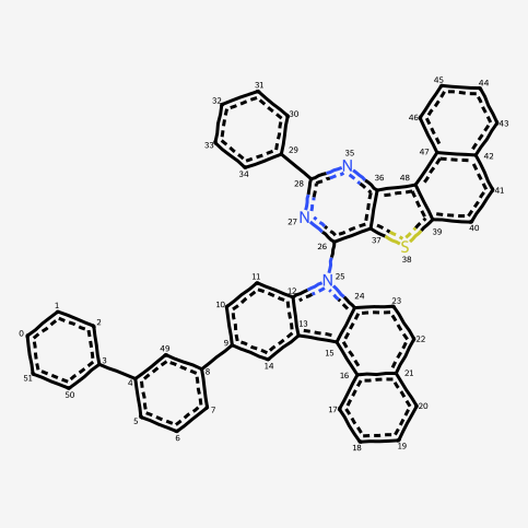 c1ccc(-c2cccc(-c3ccc4c(c3)c3c5ccccc5ccc3n4-c3nc(-c4ccccc4)nc4c3sc3ccc5ccccc5c34)c2)cc1